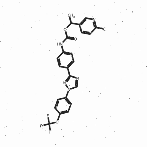 CC(OC(=O)Nc1ccc(-c2ncn(-c3ccc(OC(F)(F)F)cc3)n2)cc1)c1ccc(Cl)nc1